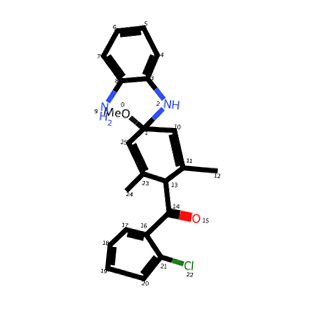 COC1(Nc2ccccc2N)C=C(C)C(C(=O)c2ccccc2Cl)C(C)=C1